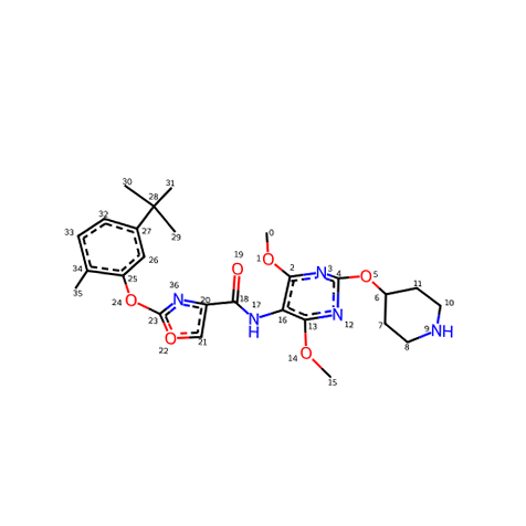 COc1nc(OC2CCNCC2)nc(OC)c1NC(=O)c1coc(Oc2cc(C(C)(C)C)ccc2C)n1